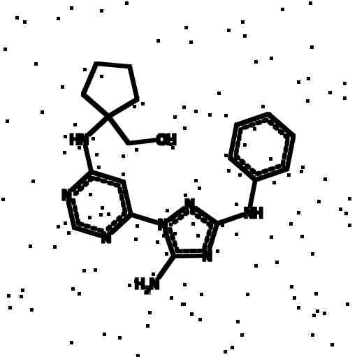 Nc1nc(Nc2ccccc2)nn1-c1cc(NC2(CO)CCCC2)ncn1